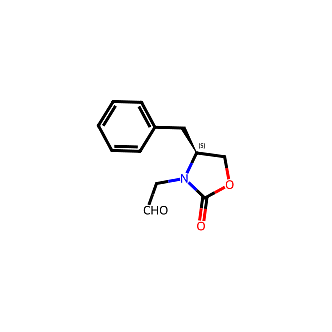 O=CCN1C(=O)OC[C@@H]1Cc1ccccc1